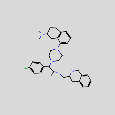 CN(C)C1CCc2cccc(N3CCN(C(c4ccc(Cl)cc4)C(C=O)NCC4Cc5ccccc5CN4)CC3)c2C1